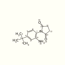 CC(C)(C)c1ccc(N2C(=O)CCC2=O)c(N)c1